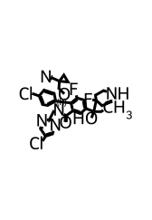 CCC(O)(c1cc(F)c2c(c1)C(=O)N(Cc1ncc(Cl)cn1)[C@@]2(OCC1(C#N)CC1)c1ccc(Cl)cc1)C1(F)CCNCC1